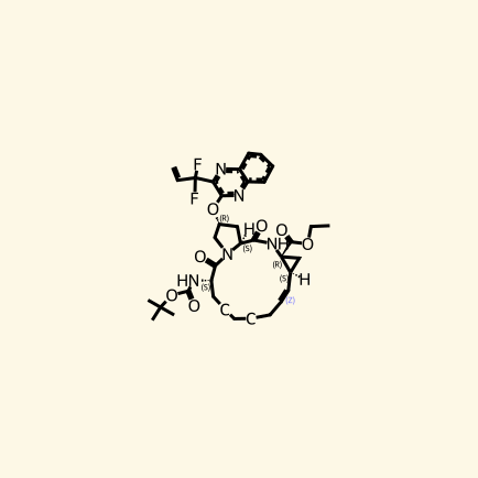 C=CC(F)(F)c1nc2ccccc2nc1O[C@@H]1C[C@H]2C(=O)N[C@]3(C(=O)OCC)C[C@H]3/C=C\CCCCC[C@H](NC(=O)OC(C)(C)C)C(=O)N2C1